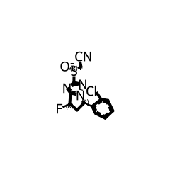 N#CC[S@+]([O-])c1nc2n(n1)[C@@H](c1ccccc1Cl)C[C@H]2F